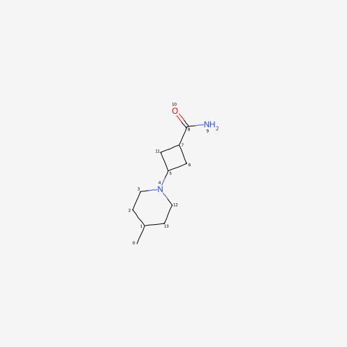 CC1CCN(C2CC(C(N)=O)C2)CC1